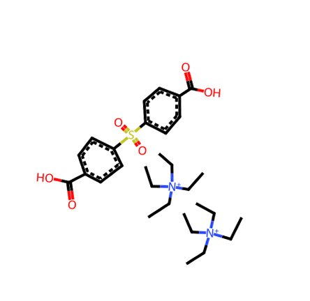 CC[N+](CC)(CC)CC.CC[N+](CC)(CC)CC.O=C(O)c1ccc(S(=O)(=O)c2ccc(C(=O)O)cc2)cc1